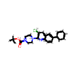 CC(C)(C)OC(=O)N1CCN(c2nc3ccc(-c4ccccc4)cc3cc2Cl)CC1